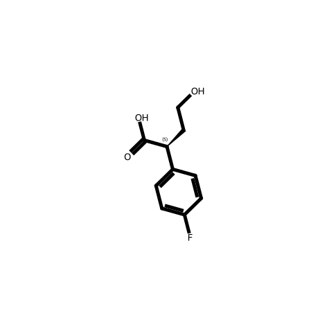 O=C(O)[C@@H](CCO)c1ccc(F)cc1